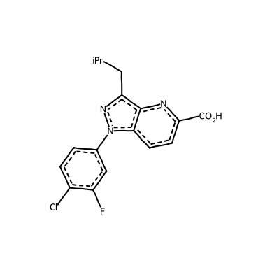 CC(C)Cc1nn(-c2ccc(Cl)c(F)c2)c2ccc(C(=O)O)nc12